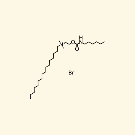 CCCCCCCCCCCCCCCC[N+](C)(C)CCOC(=O)NCCCCCC.[Br-]